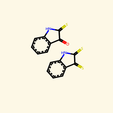 O=C1C(=S)Nc2ccccc21.S=C1Nc2ccccc2C1=S